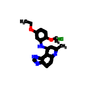 CCOc1ccc(OC)c(Nc2cc(C)nc3ccc4nc[nH]c4c23)c1.Cl